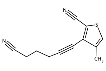 Cc1csc(C#N)c1C#CCCCC#N